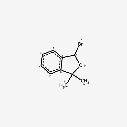 CC1(C)OC(Br)c2ccccc21